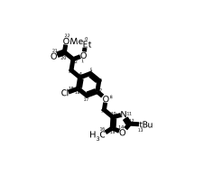 CCOC(Cc1ccc(OCc2nc(C(C)(C)C)oc2C)cc1Cl)C(=O)OC